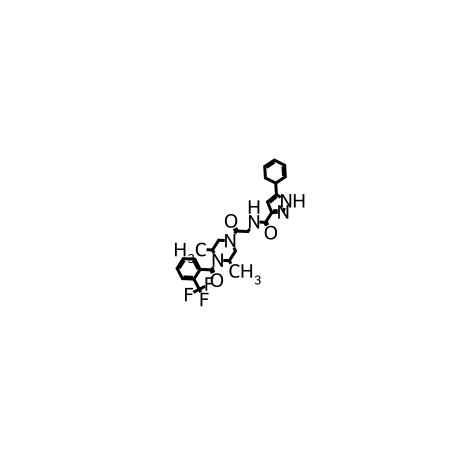 CC1CN(C(=O)CNC(=O)c2cc(C3C=CC=CC3)[nH]n2)CC(C)N1C(=O)c1ccccc1C(F)(F)F